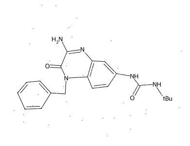 CC(C)(C)NC(=O)Nc1ccc2c(c1)nc(N)c(=O)n2Cc1ccccc1